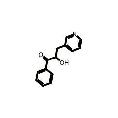 O=C(c1ccccc1)C(O)Cc1cccnc1